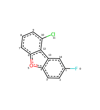 Fc1ccc2oc3cccc(Cl)c3c2c1